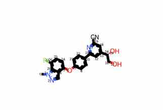 Cn1ncc2c(Oc3ccc(-c4cc([C@H](O)CO)cc(C#N)n4)cc3)ccc(F)c21